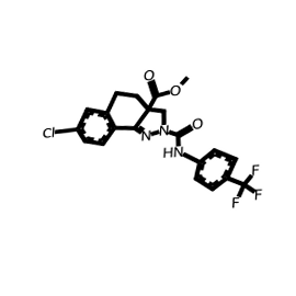 COC(=O)C12CCc3cc(Cl)ccc3C1=NN(C(=O)Nc1ccc(C(F)(F)F)cc1)C2